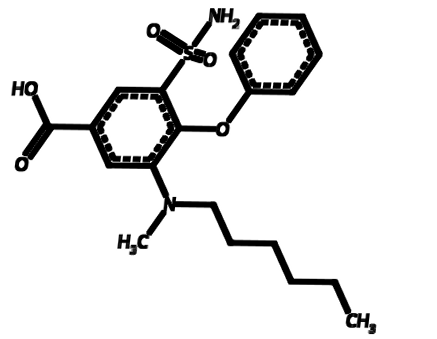 CCCCCCN(C)c1cc(C(=O)O)cc(S(N)(=O)=O)c1Oc1ccccc1